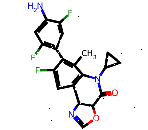 Cc1c(-c2cc(F)c(N)cc2F)c(F)cc2c1N(C1CC1)C(=O)C1OC=NC21